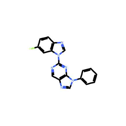 Fc1ccc2ncn(-c3ncc4ncn(-c5ccccc5)c4n3)c2c1